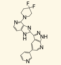 FC1(F)CCN(c2nccc3[nH]c(-c4n[nH]c5ncc(-c6cccnc6)cc45)nc23)CC1